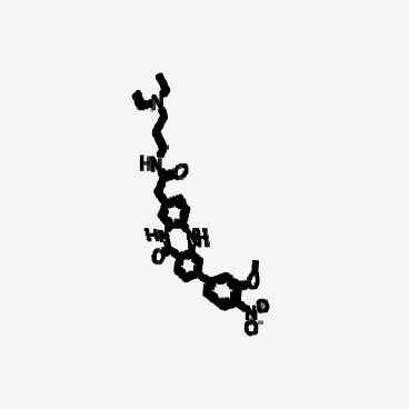 CCN(CC)CCCNC(=O)Cc1ccc2c(c1)NC(=O)c1ccc(-c3ccc([N+](=O)[O-])c(OC)c3)cc1N2